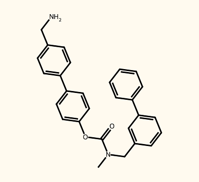 CN(Cc1cccc(-c2ccccc2)c1)C(=O)Oc1ccc(-c2ccc(CN)cc2)cc1